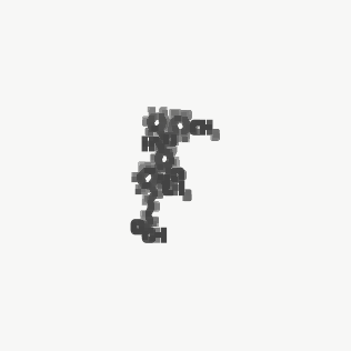 Cc1ccc(-c2ccccc2C(=O)Nc2ccc(C(=O)N(C)c3ccccc3CCCCCC(=O)O)cc2)cc1